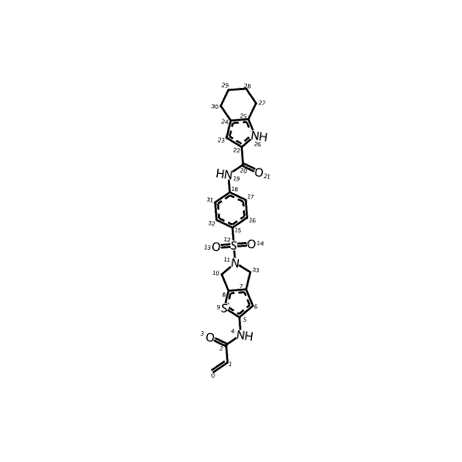 C=CC(=O)Nc1cc2c(s1)CN(S(=O)(=O)c1ccc(NC(=O)c3cc4c([nH]3)CCCC4)cc1)C2